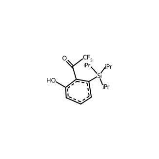 CC(C)[Si](c1cccc(O)c1C(=O)C(F)(F)F)(C(C)C)C(C)C